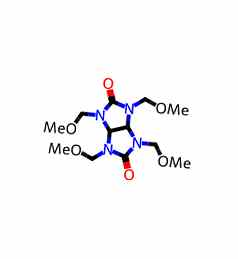 COCN1C(=O)N(COC)C2C1N(COC)C(=O)N2COC